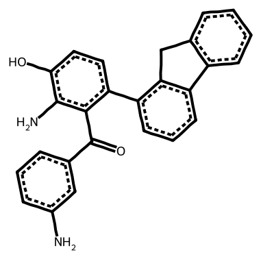 Nc1cccc(C(=O)c2c(-c3cccc4c3Cc3ccccc3-4)ccc(O)c2N)c1